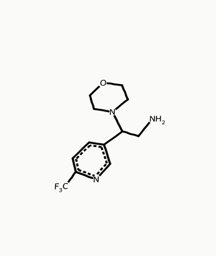 NCC(c1ccc(C(F)(F)F)nc1)N1CCOCC1